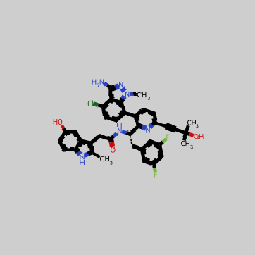 Cc1[nH]c2ccc(O)cc2c1CC(=O)N[C@@H](Cc1cc(F)cc(F)c1)c1nc(C#CC(C)(C)O)ccc1-c1ccc(Cl)c2c(N)nn(C)c12